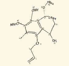 C=CCOc1c(C)c(OC)c(OC)c2c1C(O)CN[C@H]2OCCCC